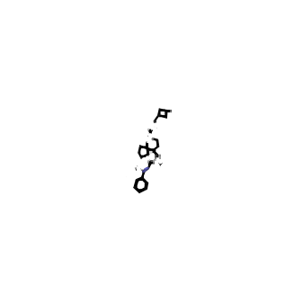 C=N/C(=C\C(=O)N(C)C[C@]1(O)CCN(C(=O)NCC2CC(F)(F)C2)CC12CCCC2)c1ccccc1